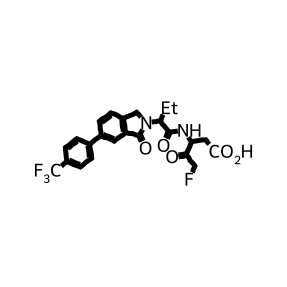 CCC(C(=O)NC(CC(=O)O)C(=O)CF)N1Cc2ccc(-c3ccc(C(F)(F)F)cc3)cc2C1=O